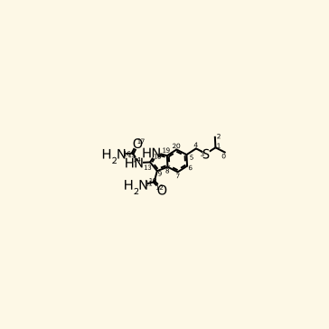 CC(C)SCc1ccc2c(C(N)=O)c(NC(N)=O)[nH]c2c1